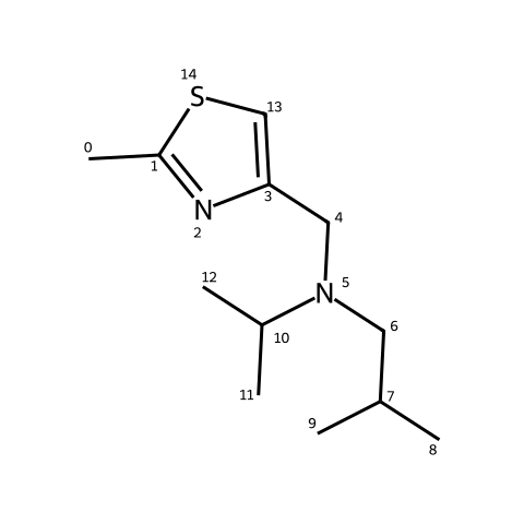 Cc1nc(CN(CC(C)C)C(C)C)cs1